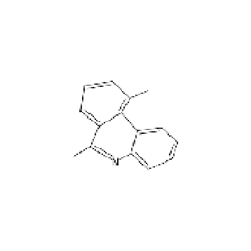 Cc1nc2ccccc2c2c(C)cccc12